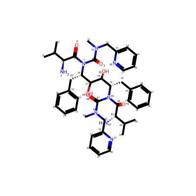 CC(C)[C@H](N)C(=O)N(C(=O)N(C)Cc1ccccn1)[C@@H](Cc1ccccc1)C(O)C(O)[C@H](Cc1ccccc1)N(C(=O)[C@@H](N)C(C)C)C(=O)N(C)Cc1ccccn1